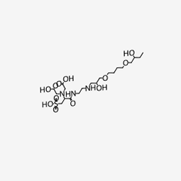 CCC(O)COCCCCOCC(O)CNCCNC(=O)C(CS(=O)(=O)O)N(CC(=O)O)CC(=O)O